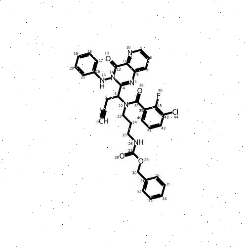 C#CCC(c1nc2cccnc2c(=O)n1Nc1ccccc1)N(CCCNC(=O)OCc1ccccc1)C(=O)c1cccc(Cl)c1F